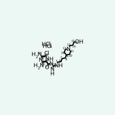 Cl.Cl.N=C(NCCCCC1CCN(CCCO)CC1)NC(=O)c1nc(Cl)c(N)nc1N